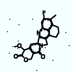 COC1C(=O)OCc2c1cc1n(c2=O)Cc2c-1nc1cc(F)c(C)c3c1c2CCC3